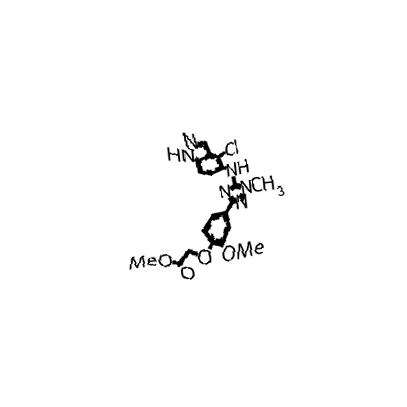 COC(=O)COc1ccc(-c2nc(Nc3ccc4[nH]ncc4c3Cl)n(C)n2)cc1OC